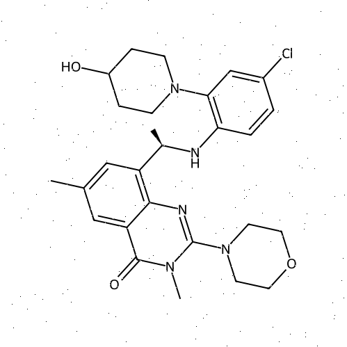 Cc1cc([C@@H](C)Nc2ccc(Cl)cc2N2CCC(O)CC2)c2nc(N3CCOCC3)n(C)c(=O)c2c1